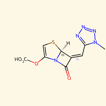 Cn1nnnc1/C=C1/C(=O)N2C(OC(=O)O)=CS[C@@H]12